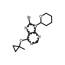 CC1(Oc2ncnc3c2nc(Br)n3C2CCCCO2)CC1